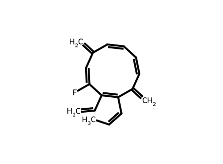 C=Cc1c(F)cc(=C)ccccc(=C)c1/C=C\C